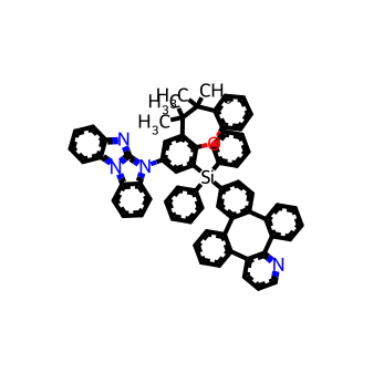 CC1(C)c2ccccc2Oc2c(cc(-n3c4ccccc4n4c5ccccc5nc34)cc2[Si](c2ccccc2)(c2ccccc2)c2ccc3c(c2)-c2ccccc2-c2cccnc2-c2ccccc2-3)C1(C)C